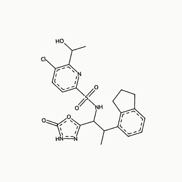 CC(O)c1nc(S(=O)(=O)NC(c2n[nH]c(=O)o2)C(C)c2cccc3c2CCC3)ccc1Cl